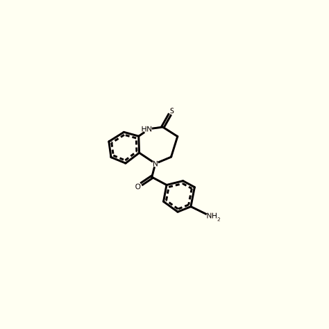 Nc1ccc(C(=O)N2CCC(=S)Nc3ccccc32)cc1